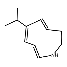 CC(C)C1=C/C=C/NCC\C=C\1